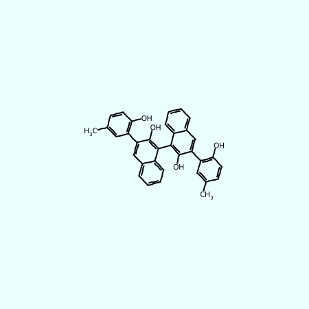 Cc1ccc(O)c(-c2cc3ccccc3c(-c3c(O)c(-c4cc(C)ccc4O)cc4ccccc34)c2O)c1